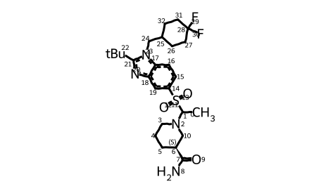 CC(N1CCC[C@H](C(N)=O)C1)S(=O)(=O)c1ccc2c(c1)nc(C(C)(C)C)n2CC1CCC(F)(F)CC1